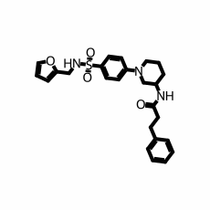 O=C(CCc1ccccc1)NC1CCCN(c2ccc(S(=O)(=O)NCc3ccco3)cc2)C1